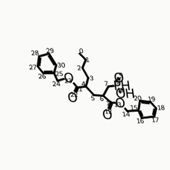 CCCCC(CC(C[PH](=O)O)C(=O)OCc1ccccc1)C(=O)OCc1ccccc1